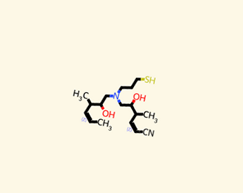 C/C=C\C(C)C(O)CN(CCCS)CC(O)C(C)/C=C\C#N